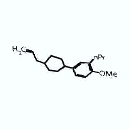 C=CCC1CCC(c2ccc(OC)c(CCC)c2)CC1